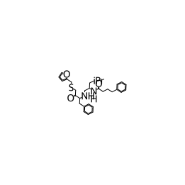 CC(C)CC(CNC(Cc1ccccc1)C(=O)CSCc1ccco1)NC(=O)CCCc1ccccc1